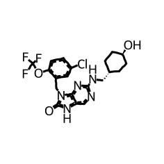 O=c1[nH]c2cnc(NC[C@H]3CC[C@H](O)CC3)nc2n1Cc1cc(Cl)ccc1OC(F)(F)F